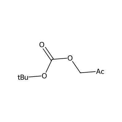 CC(=O)COC(=O)OC(C)(C)C